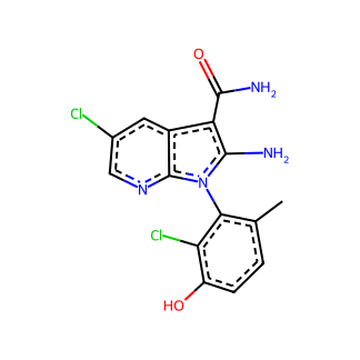 Cc1ccc(O)c(Cl)c1-n1c(N)c(C(N)=O)c2cc(Cl)cnc21